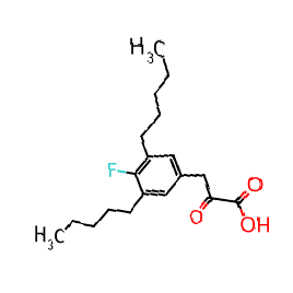 CCCCCc1cc(CC(=O)C(=O)O)cc(CCCCC)c1F